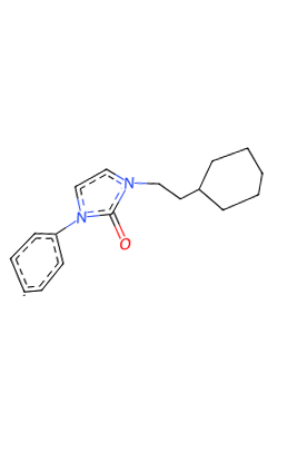 O=c1n(CCC2CCCCC2)ccn1-c1cc[c]cc1